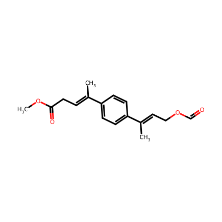 COC(=O)CC=C(C)c1ccc(C(C)=CCOC=O)cc1